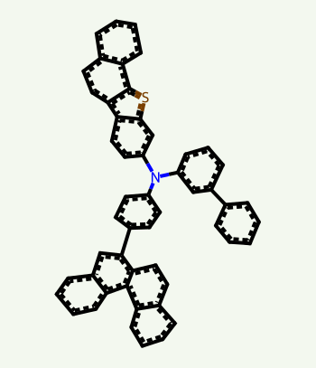 c1ccc(-c2cccc(N(c3ccc(-c4cc5ccccc5c5c4ccc4ccccc45)cc3)c3ccc4c(c3)sc3c5ccccc5ccc43)c2)cc1